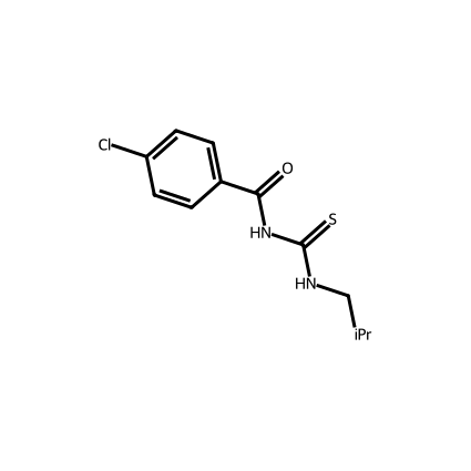 CC(C)CNC(=S)NC(=O)c1ccc(Cl)cc1